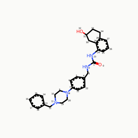 O=C(NCc1ccc(N2CCN(Cc3ccccc3)CC2)cc1)Nc1cccc2c1CC(O)CC2